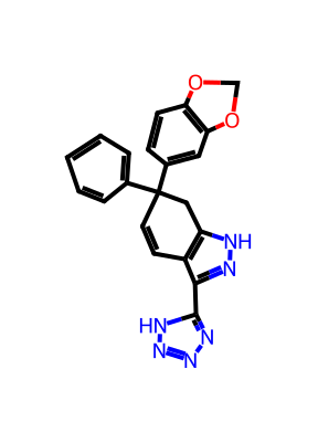 C1=CC(c2ccccc2)(c2ccc3c(c2)OCO3)Cc2[nH]nc(-c3nnn[nH]3)c21